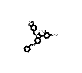 O=Cc1ccc(-c2c(C(=O)O)n(Cc3ccc4nsnc4c3)c3cc(OCc4ccccc4)ccc23)cc1